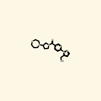 O=C(c1ccc(-n2nccc2CO)nc1)N1CCC(N2CCCOCC2)C1